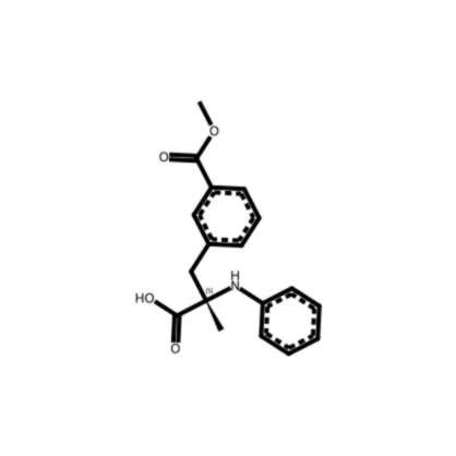 COC(=O)c1cccc(C[C@](C)(Nc2ccccc2)C(=O)O)c1